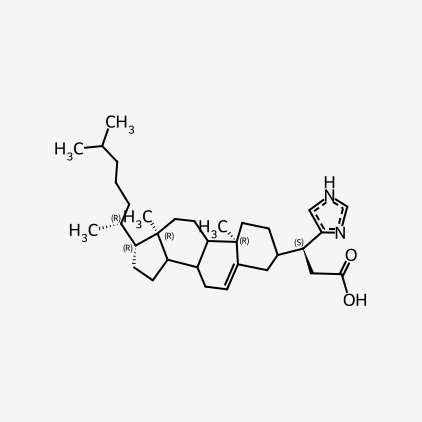 CC(C)CCC[C@@H](C)[C@H]1CCC2C3CC=C4CC([C@H](CC(=O)O)c5c[nH]cn5)CC[C@]4(C)C3CC[C@@]21C